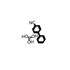 N#Cc1ccc(-c2ccccc2)cc1.OB(O)O